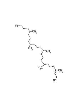 CC(=CCBr)CCCC(C)CCCC(C)CCCC(C)CCCC(C)CCCC(C)C